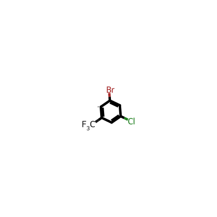 FC(F)(F)c1[c]c(Br)cc(Cl)c1